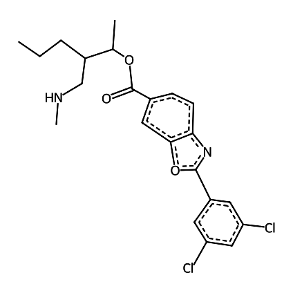 CCCC(CNC)C(C)OC(=O)c1ccc2nc(-c3cc(Cl)cc(Cl)c3)oc2c1